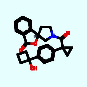 O=C1O[C@]2(CCN(C(=O)C3(c4ccc(C5(O)CCC5)cc4)CC3)C2)c2ccccc21